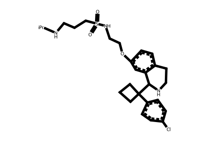 CC(C)NCCCS(=O)(=O)NCCOc1ccc2c(c1)C(C1(c3ccc(Cl)cc3)CCC1)NCC2